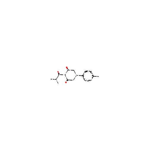 Cc1ccc(C2CC(=O)C(C(=O)C(C)C)C(=O)C2)cc1